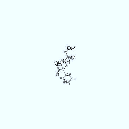 O=C(CO)NCC(C(=O)O)c1cccnc1